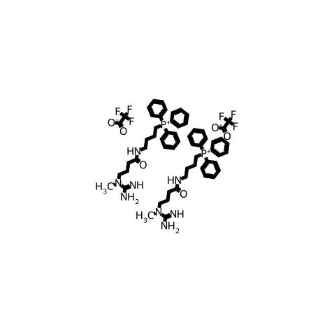 CN(CCCC(=O)NCCCC[P+](c1ccccc1)(c1ccccc1)c1ccccc1)C(=N)N.CN(CCCC(=O)NCCCC[P+](c1ccccc1)(c1ccccc1)c1ccccc1)C(=N)N.O=C([O-])C(F)(F)F.O=C([O-])C(F)(F)F